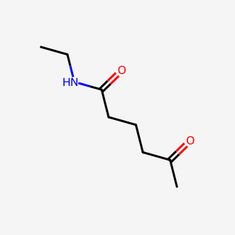 CCNC(=O)CCCC(C)=O